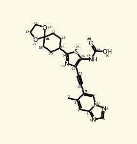 Cc1cc2ncnn2cc1C#Cc1nc(C2CCC3(CC2)OCCO3)sc1NC(=O)O